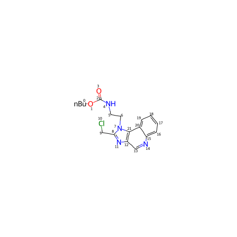 CCCCOC(=O)NCCn1c(CCl)nc2cnc3ccccc3c21